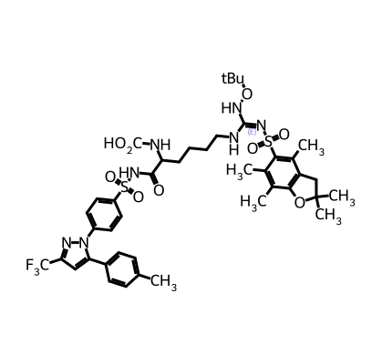 Cc1ccc(-c2cc(C(F)(F)F)nn2-c2ccc(S(=O)(=O)NC(=O)C(CCCCN/C(=N\S(=O)(=O)c3c(C)c(C)c4c(c3C)CC(C)(C)O4)NOC(C)(C)C)NC(=O)O)cc2)cc1